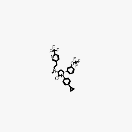 CN(CCc1ccc(C(F)(F)F)nc1)[C@@H]1C[C@H](c2cccc(OC(F)(F)F)c2)N(c2ccc(C3CC3)cc2)C1=O